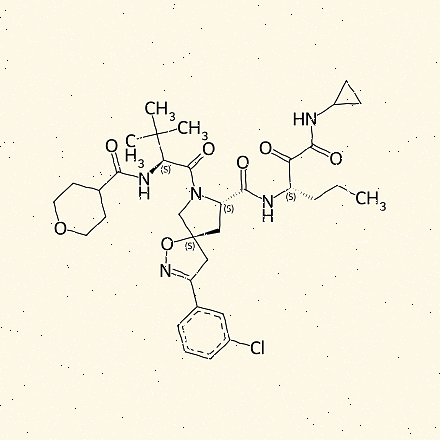 CCC[C@H](NC(=O)[C@@H]1C[C@]2(CC(c3cccc(Cl)c3)=NO2)CN1C(=O)[C@@H](NC(=O)C1CCOCC1)C(C)(C)C)C(=O)C(=O)NC1CC1